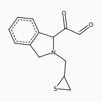 O=CC(=O)C1c2ccccc2CN1CC1CS1